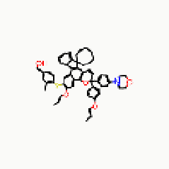 CCCOc1ccc(C2(c3ccc(N4CCOCC4)cc3)C=Cc3c4c(c5cc(Sc6ccc(CO)cc6C)c(OCCC)cc5c3O2)-c2ccccc2C42CCCCCCC2)cc1